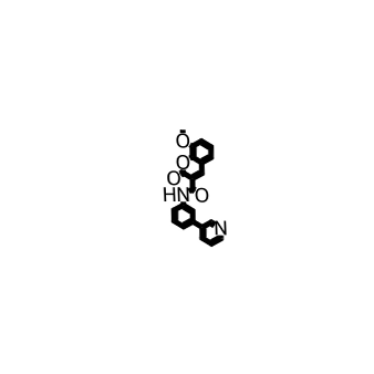 COc1cccc2cc(C(=O)Nc3cccc(-c4cccnc4)c3)c(=O)oc12